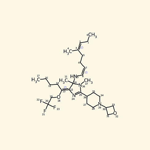 CC/C=C(/C)CC/C=C\NC1(C)/C(=C(\CCCC)OCC(F)(F)F)N=C(C2CCN(C3COC3)CC2)N1C